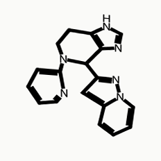 c1ccc(N2CCc3[nH]cnc3C2c2cc3ccccn3n2)nc1